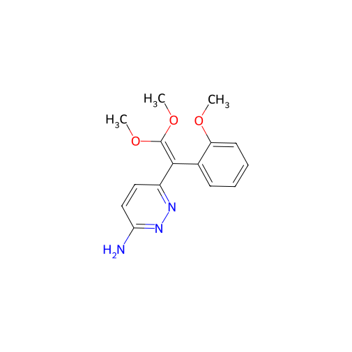 COC(OC)=C(c1ccc(N)nn1)c1ccccc1OC